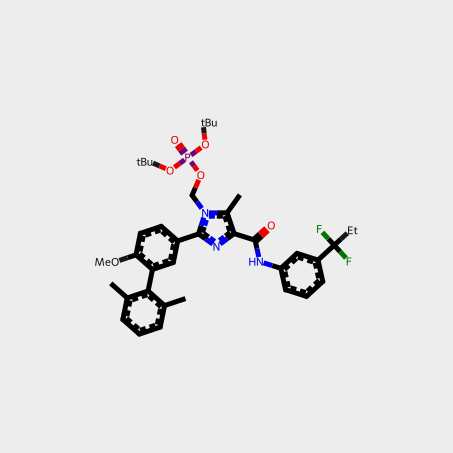 CCC(F)(F)c1cccc(NC(=O)c2nc(-c3ccc(OC)c(-c4c(C)cccc4C)c3)n(COP(=O)(OC(C)(C)C)OC(C)(C)C)c2C)c1